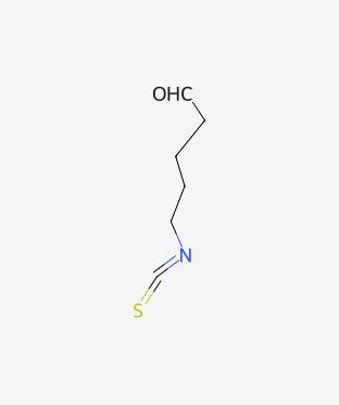 O=CCCCCN=C=S